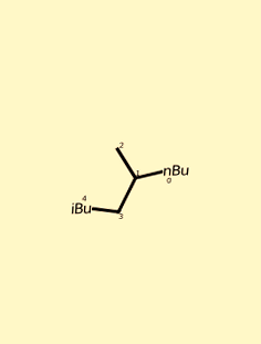 CCCCC(C)CC(C)CC